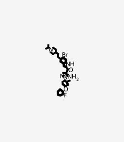 CC1=CC(Oc2ccccc2F)=CCC1n1ncc(C(=O)c2cc3cc(CCC4CCN(C(C)C)CC4)c(Br)cc3[nH]2)c1N